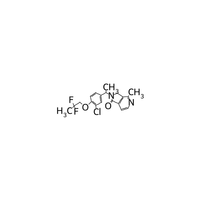 Cc1nccc2c1CN(C(C)c1ccc(OCC(C)(F)F)c(Cl)c1)C2=O